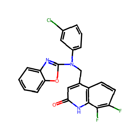 O=c1cc(CN(c2cccc(Cl)c2)c2nc3ccccc3o2)c2ccc(F)c(F)c2[nH]1